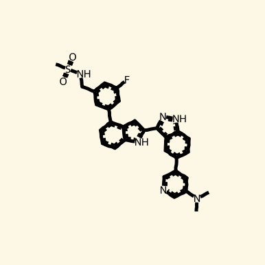 CN(C)c1cncc(-c2ccc3[nH]nc(-c4cc5c(-c6cc(F)cc(CNS(C)(=O)=O)c6)cccc5[nH]4)c3c2)c1